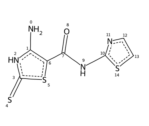 Nc1[nH]c(=S)sc1C(=O)Nc1nccs1